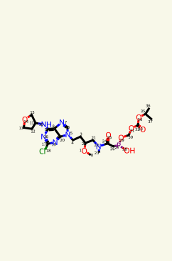 COC(CCn1cnc2c(NC3CCOC3)nc(Cl)nc21)CN(C)C(=O)CP(O)OCOC(=O)OC(C)C